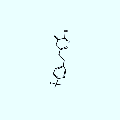 C=C(CC(=O)O[C@H](C)c1ccc(C(F)(F)F)cc1)C(=O)O